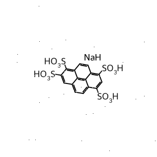 O=S(=O)(O)c1cc2ccc3c(S(=O)(=O)O)cc(S(=O)(=O)O)c4ccc(c1S(=O)(=O)O)c2c34.[NaH]